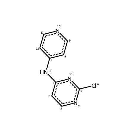 Clc1nccc(Nc2ccncc2)n1